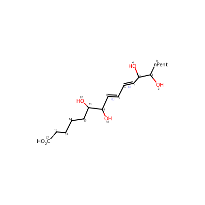 CCCCCC(O)C(O)/C=C/C=C/C(O)C(O)CCCCC(=O)O